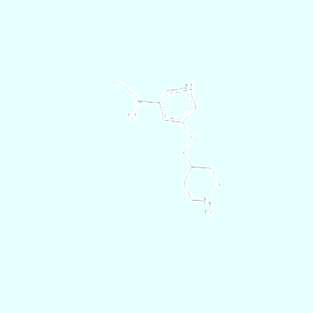 COC(=O)c1cncc(SCC2CCNCC2)c1